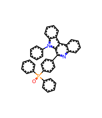 O=P(c1ccccc1)(c1ccccc1)c1ccc(-c2nc3ccccc3c3c4ccccc4n(-c4ccccc4)c23)cc1